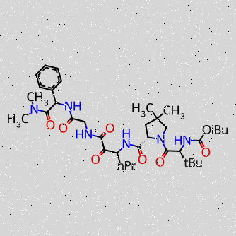 CCCC(NC(=O)[C@@H]1CC(C)(C)CN1C(=O)[C@@H](NC(=O)OCC(C)C)C(C)(C)C)C(=O)C(=O)NCC(=O)NC(C(=O)N(C)C)c1ccccc1